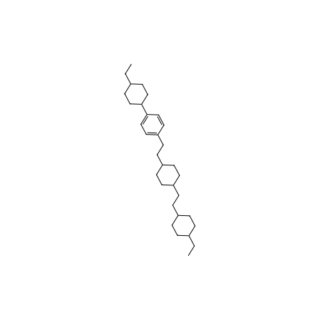 CCC1CCC(CCC2CCC(CCc3ccc(C4CCC(CC)CC4)cc3)CC2)CC1